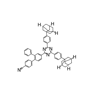 N#Cc1ccc(-c2ccc(-c3nc(-c4ccc(C56C[C@H]7C[C@@H](C5)C[C@@H](C6)C7)cc4)nc(-c4ccc(C56C[C@H]7C[C@H](C5)C[C@@H](C6)C7)cc4)n3)cc2-c2ccccc2)cc1